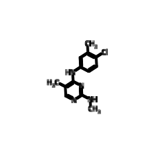 CNc1ncc(C)c(Nc2ccc(Cl)c(C)c2)n1